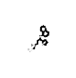 CCNCCC(Oc1cccc2ncccc12)c1cccs1